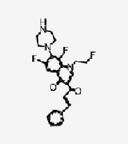 O=C(C=Cc1ccccc1)c1cn(CCF)c2c(F)c(N3CCNCC3)c(F)cc2c1=O